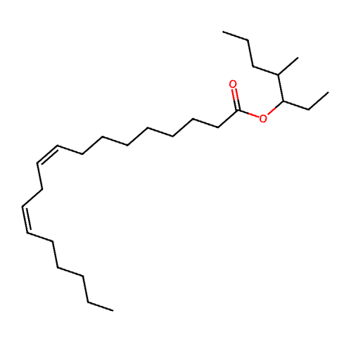 CCCCC/C=C\C/C=C\CCCCCCCC(=O)OC(CC)C(C)CCC